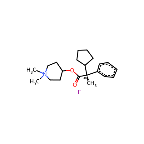 C[C@](C(=O)OC1CC[N+](C)(C)CC1)(c1ccccc1)C1CCCC1.[I-]